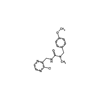 COc1ccc(CN(C)C(=O)NCc2nccnc2Cl)cc1